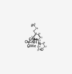 COP(=O)(Nc1cc(CCC(C)C)ccc1N1CCOCC1)OC